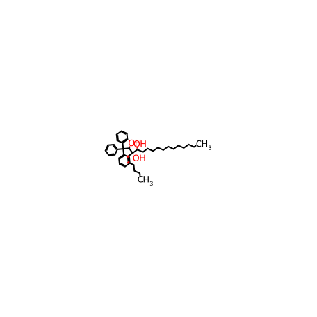 CCCCC=CC(O)(C(O)CCCCCCCCCCCC)C(O)C(c1ccccc1)(c1ccccc1)c1ccccc1